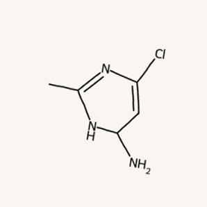 CC1=NC(Cl)=CC(N)N1